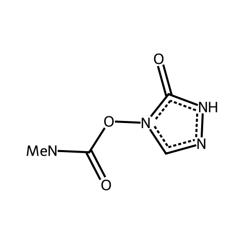 CNC(=O)On1cn[nH]c1=O